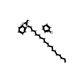 CCCCCCCCCCCCCCCCCC[n+]1c(C)oc2ccccc21.Clc1ccccc1